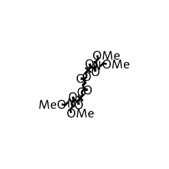 COCCN(CCOC)C(=O)C(=O)C(C)(C)COC(=O)/C=C/C(=O)OCC(C)(C)C(=O)C(=O)N(CCOC)CCOC